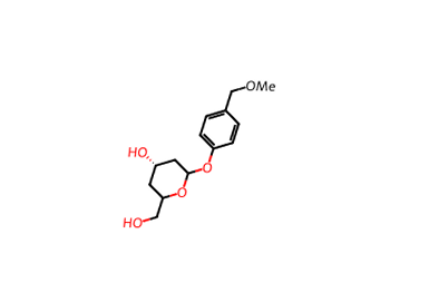 COCc1ccc(OC2C[C@@H](O)CC(CO)O2)cc1